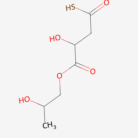 CC(O)COC(=O)C(O)CC(=O)S